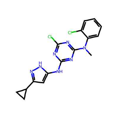 CN(c1nc(Cl)nc(Nc2cc(C3CC3)n[nH]2)n1)c1ccccc1Cl